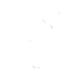 CCCCCCCCCC1CCCCC1CCCOc1ccc(-c2ncc(CCCCC)cn2)cc1